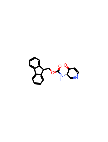 O=C(N[C@H]1C=NC=CC1=O)OCC1c2ccccc2-c2ccccc21